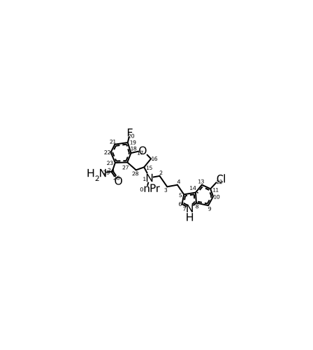 CCCN(CCCc1c[nH]c2ccc(Cl)cc12)C1COc2c(F)ccc(C(N)=O)c2C1